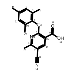 Cc1cc(C)c(Oc2nc(C)c(C#N)cc2C(=O)O)c(C)c1